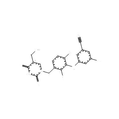 N#Cc1cc(Cl)cc(Oc2c(Br)ccc(Cn3cc(CO)c(=O)[nH]c3=O)c2F)c1